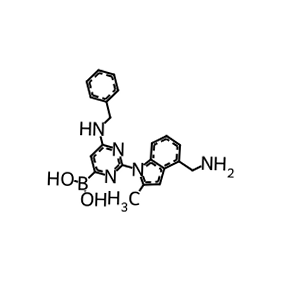 Cc1cc2c(CN)cccc2n1-c1nc(NCc2ccccc2)cc(B(O)O)n1